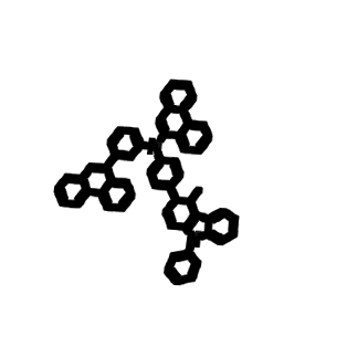 CC1c2c(n(-c3ccccc3)c3ccccc23)C=CC1c1ccc(N(c2cccc(-c3cc4ccccc4c4ccccc34)c2)c2cc3ccccc3c3ccccc23)cc1